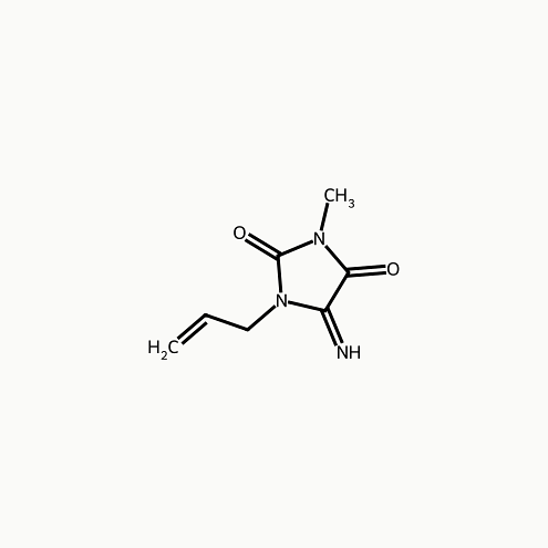 C=CCN1C(=N)C(=O)N(C)C1=O